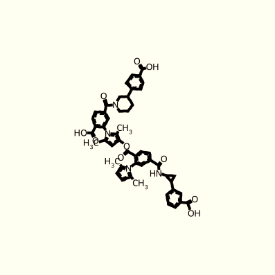 Cc1ccc(C)n1-c1cc(C(=O)NC2CC2c2cccc(C(=O)O)c2)ccc1C(=O)Oc1cc(C)n(-c2cc(C(=O)N3CCCC(c4ccc(C(=O)O)cc4)C3)ccc2C(=O)O)c1C